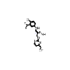 N=N/C(=C\Nc1ccc(Cl)c(C(F)F)c1)COc1nccc(CO)n1